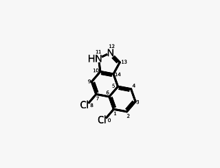 Clc1cccc2c1c(Cl)cc1[nH]ncc12